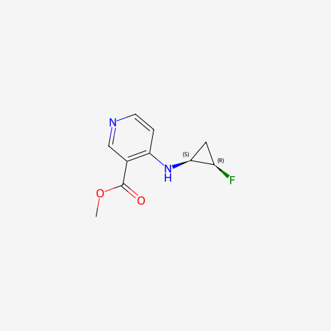 COC(=O)c1cnccc1N[C@H]1C[C@H]1F